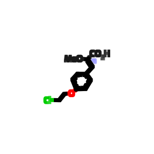 CO/C(=C\c1ccc(OCCCl)cc1)C(=O)O